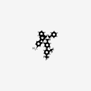 Cc1ccc2c3ccccc3n(-c3cc(-c4ccc(C(F)(F)F)cc4C(F)(F)F)ccc3-c3nc(-c4ccccc4)nc(-c4ccccc4)n3)c2c1